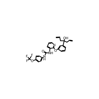 C=CCC(O)(CC=C)c1cccc(Oc2ncccc2NC(=O)Nc2ccc(OC(F)(F)F)cc2)c1